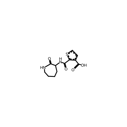 O=C(O)c1ccsc1C(=O)NC1CCCCNC1=O